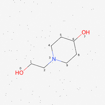 OCCN1CCC(O)CC1